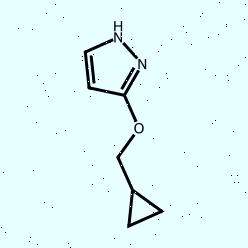 c1cc(OCC2CC2)n[nH]1